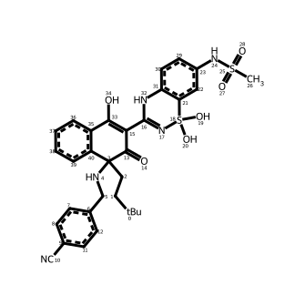 CC(C)(C)CCC1(NCc2ccc(C#N)cc2)C(=O)C(C2=NS(O)(O)c3cc(NS(C)(=O)=O)ccc3N2)=C(O)c2ccccc21